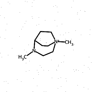 CN1CC[N+]2(C)CCC1CC2